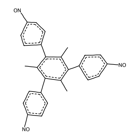 Cc1c(-c2ccc(N=O)cc2)c(C)c(-c2ccc(N=O)cc2)c(C)c1-c1ccc(N=O)cc1